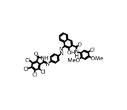 COc1cc(OC)c(NC(=O)c2cc3ccccc3c(N=Nc3ccc(/N=C4\NC(=O)c5c(Cl)c(Cl)c(Cl)c(Cl)c54)cc3)c2O)cc1Cl